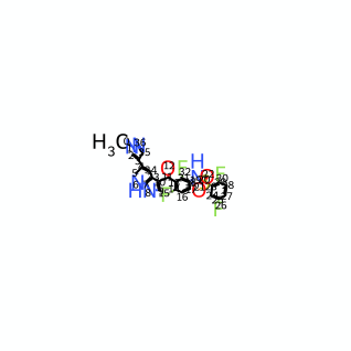 Cn1cc(-c2cnc3[nH]cc(C(=O)c4c(F)ccc(NS(=O)(=O)c5cc(F)ccc5F)c4F)c3c2)cn1